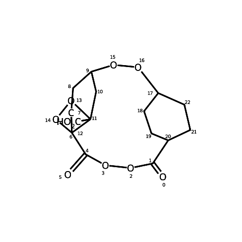 O=C1OOC(=O)C23CCC(CC2(C(=O)O)OO3)OOC2CCC1CC2